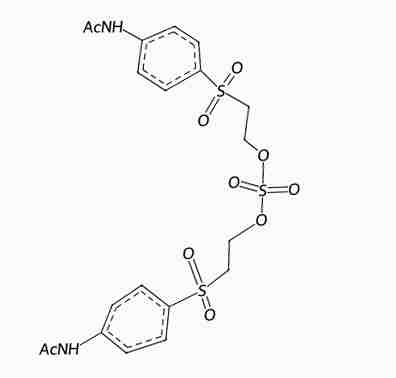 CC(=O)Nc1ccc(S(=O)(=O)CCOS(=O)(=O)OCCS(=O)(=O)c2ccc(NC(C)=O)cc2)cc1